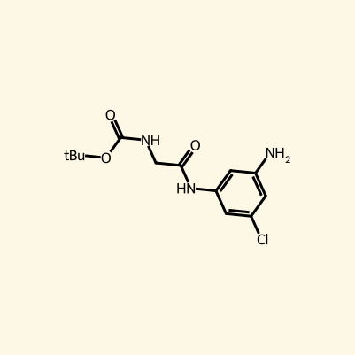 CC(C)(C)OC(=O)NCC(=O)Nc1cc(N)cc(Cl)c1